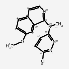 COc1ccc2ccnc(N(C)c3ccc(Cl)nn3)c2c1